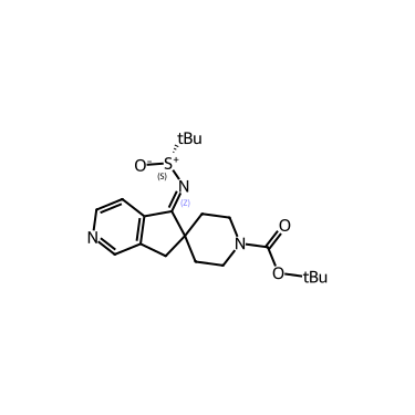 CC(C)(C)OC(=O)N1CCC2(CC1)Cc1cnccc1/C2=N\[S@+]([O-])C(C)(C)C